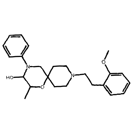 COc1ccccc1CCN1CCC2(CC1)CN(c1ccccc1)C(O)C(C)O2